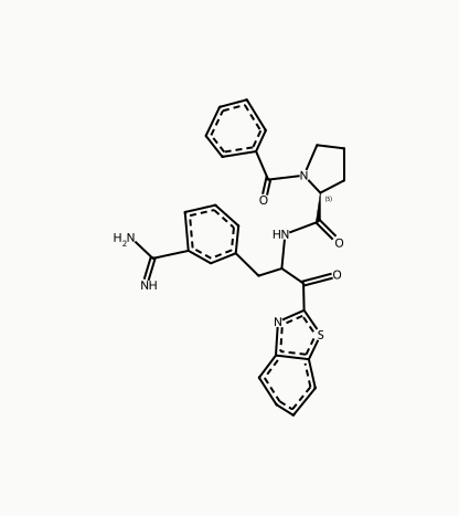 N=C(N)c1cccc(CC(NC(=O)[C@@H]2CCCN2C(=O)c2ccccc2)C(=O)c2nc3ccccc3s2)c1